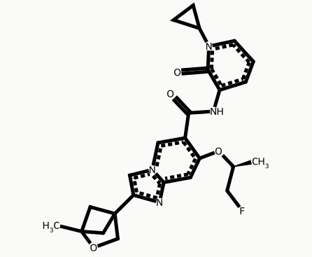 C[C@@H](CF)Oc1cc2nc(C34COC(C)(C3)C4)cn2cc1C(=O)Nc1cccn(C2CC2)c1=O